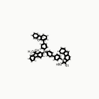 CCCCc1c(CC)c2ccc3c(c2n1-c1ccc(C2C=CC(N(c4ccc(C5=CCCc6c5oc5c6CCCC5)cc4)c4ccc5c(c4)C(C)(C)c4ccccc4-5)=CC2)cc1)C1=C(C=CCC1)C3